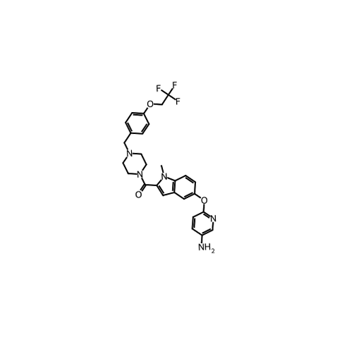 Cn1c(C(=O)N2CCN(Cc3ccc(OCC(F)(F)F)cc3)CC2)cc2cc(Oc3ccc(N)cn3)ccc21